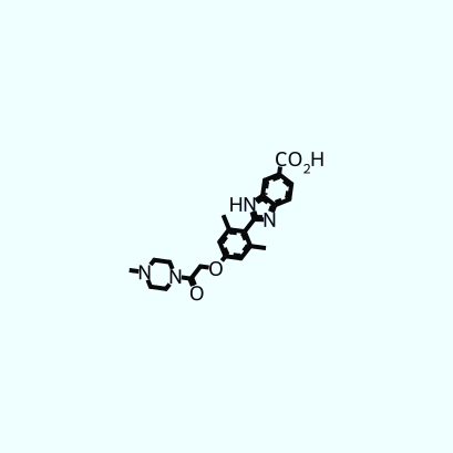 Cc1cc(OCC(=O)N2CCN(C)CC2)cc(C)c1-c1nc2ccc(C(=O)O)cc2[nH]1